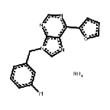 Clc1cccc(Cn2cnc3c(-c4ccco4)ncnc32)c1.N